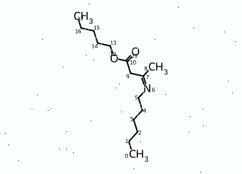 CCCCCCN=C(C)CC(=O)OCCCCC